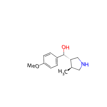 COc1ccc(C(O)[C@@H]2CNC[C@H]2C)cc1